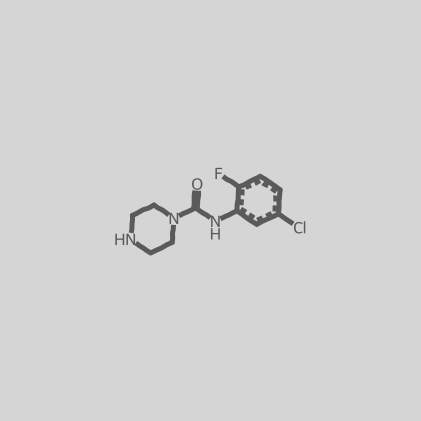 O=C(Nc1cc(Cl)ccc1F)N1CCNCC1